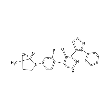 CC1(C)CCN(c2ccc(-c3c[nH]nc(-c4ccnn4-c4ccccc4)c3=O)c(F)c2)C1=O